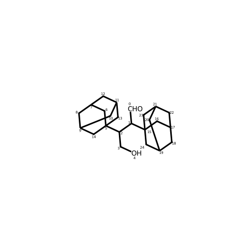 O=CC(C(CO)C12CC3CC(CC(C3)C1)C2)C12CC3CC(CC(C3)C1)C2